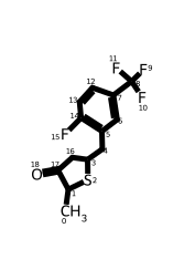 CC1SC(Cc2cc(C(F)(F)F)ccc2F)CC1=O